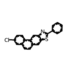 Clc1ccc2c(ccc3cc4sc(-c5ccccc5)nc4cc32)c1